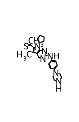 CC(=S)c1c(C)c2cnc(Nc3ccc(N4CCNCC4)cc3)nc2n1C1CCCC1